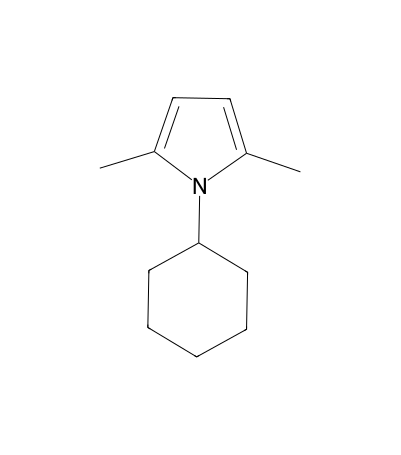 Cc1ccc(C)n1C1CCCCC1